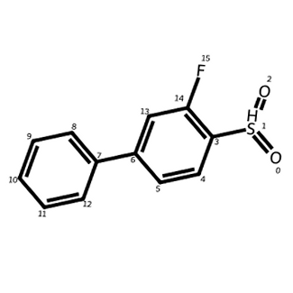 O=[SH](=O)c1c[c]c(-c2ccccc2)cc1F